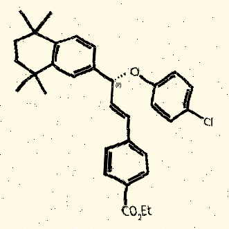 CCOC(=O)c1ccc(C=C[C@@H](Oc2ccc(Cl)cc2)c2ccc3c(c2)C(C)(C)CCC3(C)C)cc1